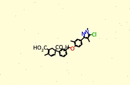 CC1=C(C(=O)O)CC(C(=O)O)(c2cccc(COc3ccc(-c4nn(C)c(Cl)c4C)cc3C)c2)C=C1